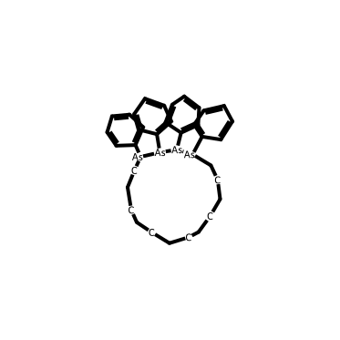 c1ccc([As]2CCCCCCCCCCCC[As](c3ccccc3)[As](c3ccccc3)[As]2c2ccccc2)cc1